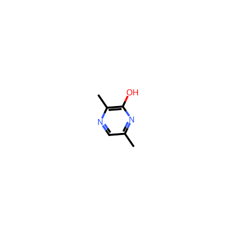 Cc1cnc(C)c(O)n1